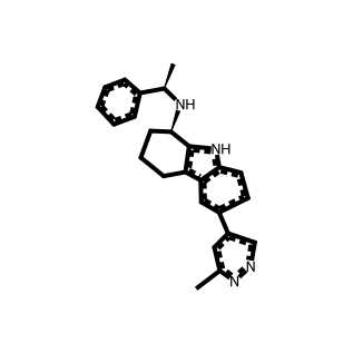 Cc1cc(-c2ccc3[nH]c4c(c3c2)CCC[C@H]4N[C@H](C)c2ccccc2)cnn1